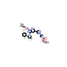 CC(C)(C)OC(=O)N1CC(n2cc(-c3cnc4c(c3)c(N3C[C@@H](F)C[C@@H]3c3cc(F)ccc3F)nn4COCC[Si](C)(C)C)cn2)C1